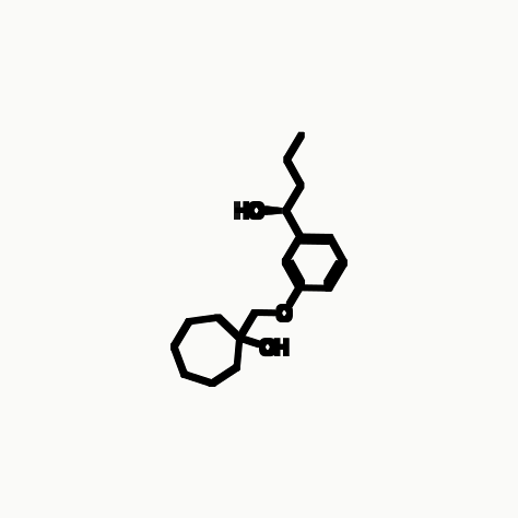 CCC[C@H](O)c1cccc(OCC2(O)CCCCCC2)c1